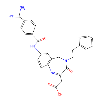 N=C(N)c1ccc(C(=O)Nc2ccc3c(c2)CN(CCc2ccccc2)C(=O)C(CC(=O)O)=N3)cc1